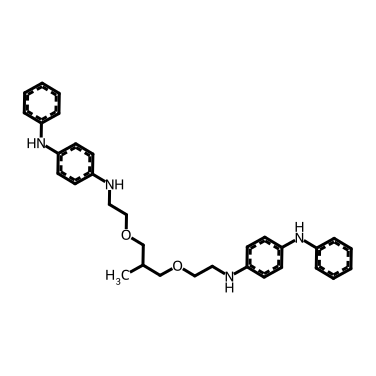 CC(COCCNc1ccc(Nc2ccccc2)cc1)COCCNc1ccc(Nc2ccccc2)cc1